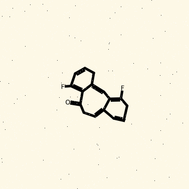 O=C1C/C=C2/C=CCC(F)=C2/C=C2/CC=CC(F)=C12